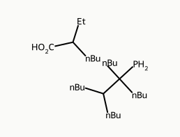 CCCCC(CC)C(=O)O.CCCCC(CCCC)C(P)(CCCC)CCCC